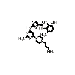 Cc1nc(Nc2ncc(C(=O)Nc3c(C)cccc3Cl)s2)cc(N2CCN(CCCN)CC2)n1.Cl